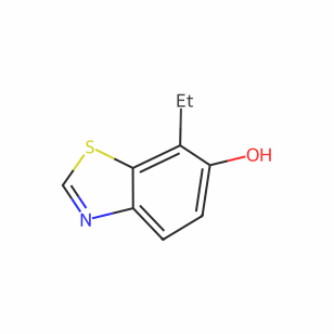 CCc1c(O)ccc2ncsc12